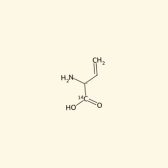 C=C[C](N)[14C](=O)O